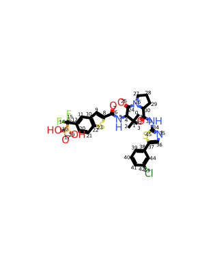 CC(C)(C)C(NC(=O)c1cc2cc(C(F)(F)P(=O)(O)O)ccc2s1)C(=O)N1CCCC1C(=O)Nc1ncc(-c2cccc(Cl)c2)s1